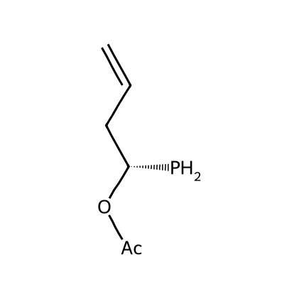 C=CC[C@H](P)OC(C)=O